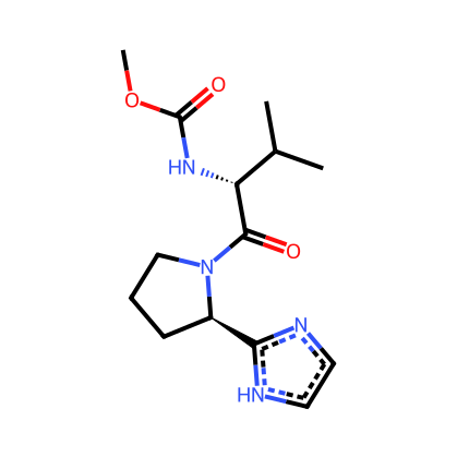 COC(=O)N[C@@H](C(=O)N1CCC[C@@H]1c1ncc[nH]1)C(C)C